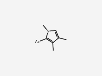 CC(=O)c1c(C)c(C)cn1C